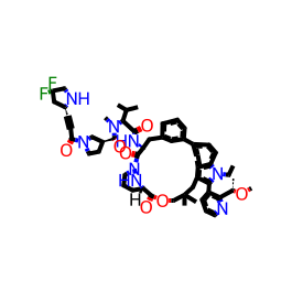 CCn1c(-c2cccnc2[C@H](C)OC)c2c3cc(ccc31)-c1cccc(c1)C[C@H](NC(=O)C(C(C)C)N(C)C(=O)[C@H]1CCN(C(=O)C#C[C@@H]3CC(F)(F)CN3)C1)C(=O)N1CCC[C@H](N1)C(=O)OCC(C)(C)C2